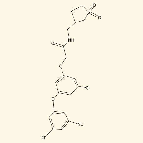 [C-]#[N+]c1cc(Cl)cc(Oc2cc(Cl)cc(OCC(=O)NCC3CCS(=O)(=O)C3)c2)c1